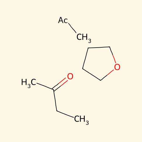 C1CCOC1.CC(C)=O.CCC(C)=O